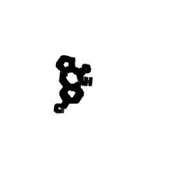 O=C1Nc2ccc(Cl)cc2CN2CCCC12